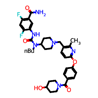 CCCCN(C(=O)Nc1cc(C(N)=O)c(F)cc1F)C1CCN(Cc2ccc(Oc3ccc(C(=O)N4CCC(O)CC4)cc3)nc2C)CC1